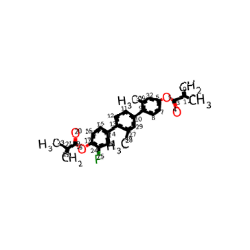 C=C(C)C(=O)Oc1ccc(-c2ccc(-c3ccc(OC(=O)C(=C)C)c(F)c3)c(C)c2)c(C)c1